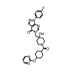 O=C(C1CCC(Oc2ncccn2)CC1)N1CCC(O)(Cn2cnc3c(cnn3-c3ccc(F)cc3)c2=O)CC1